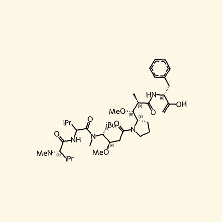 C=C(O)[C@@H](Cc1ccccc1)NC(=O)[C@H](C)[C@@H](OC)[C@@H]1CCCN1C(=O)C[C@@H](OC)C([C@@H](C)CC)N(C)C(=O)C(NC(=O)[C@@H](NC)C(C)C)C(C)C